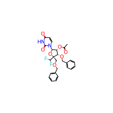 CC(=O)O[C@H]1[C@H](n2ccc(=O)[nH]c2=O)O[C@@](COCc2ccccc2)(C(F)F)[C@H]1OCc1ccccc1